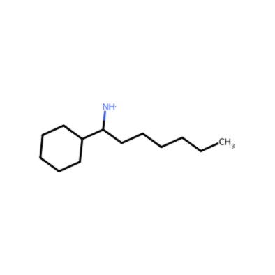 CCCCCCC([NH])C1CCCCC1